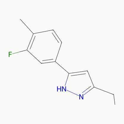 CCc1cc(-c2ccc(C)c(F)c2)[nH]n1